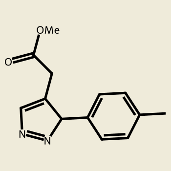 COC(=O)CC1=CN=NC1c1ccc(C)cc1